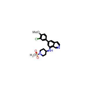 COc1ccc(-c2cc(NC3CCN(S(C)(=O)=O)CC3)c3cnccc3c2)cc1Cl